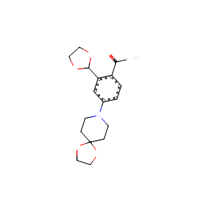 COC(=O)c1ccc(N2CCC3(CC2)OCCO3)cc1C1OCCO1